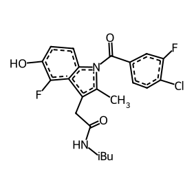 CCC(C)NC(=O)Cc1c(C)n(C(=O)c2ccc(Cl)c(F)c2)c2ccc(O)c(F)c12